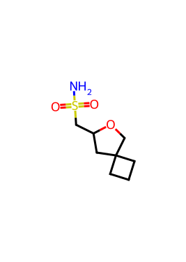 NS(=O)(=O)CC1CC2(CCC2)CO1